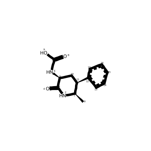 C[C@H]1NC(=O)[C@@H](NC(=O)O)C[C@H]1c1ccccc1